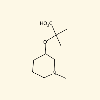 CN1CCCC(OC(C)(C)C(=O)O)C1